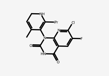 CC1=CCNC(C(C)C)=C1n1c(=O)[nH]c(=O)c2cc(F)c(Cl)nc21